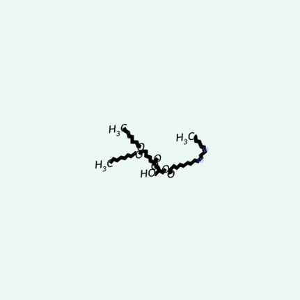 CCCCC/C=C\C/C=C\CCCCCCCC(=O)OCC(CO)COC(=O)CCCCC(OCCCCCCCC)OCCCCCCCC